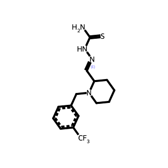 NC(=S)N/N=C/C1CCCCN1Cc1cccc(C(F)(F)F)c1